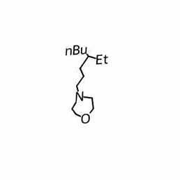 CCCCC(CC)CCCN1CCOCC1